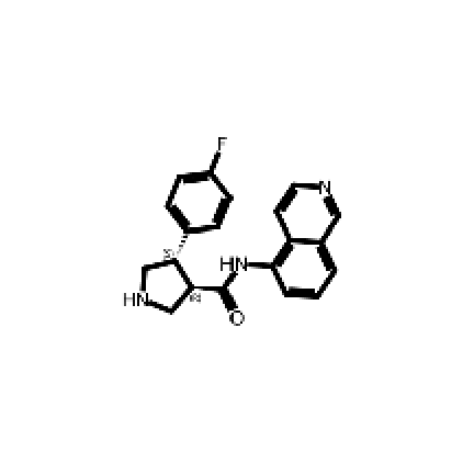 O=C(Nc1cccc2cnccc12)[C@H]1CNC[C@@H]1c1ccc(F)cc1